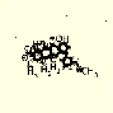 COCc1cccc(-c2ccc(O)c3c2C[C@]2(C)C[C@]4(C)CC(C)=C(C(C)=O)C(=O)[C@@]4(C)C(O)=C2C3=O)c1